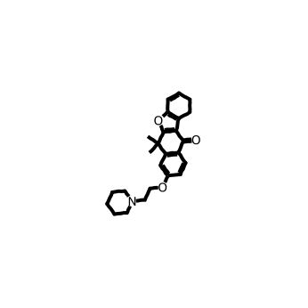 CC1(C)c2cc(OCCN3CCCCC3)ccc2C(=O)c2c1oc1c2CCC=C1